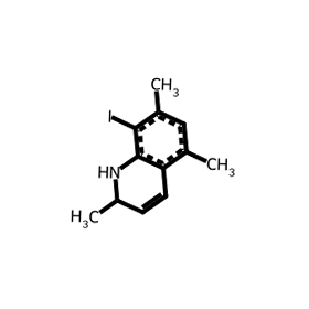 Cc1cc(C)c2c(c1I)NC(C)C=C2